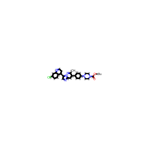 Cc1nn2c(-c3ccnc4cc(Cl)ccc34)cnc2cc1-c1ccc(N2CCN(C(=O)OC(C)(C)C)CC2)cc1